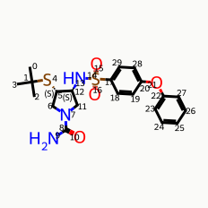 CC(C)(C)S[C@H]1CN(C(N)=O)C[C@@H]1NS(=O)(=O)c1ccc(Oc2ccccc2)cc1